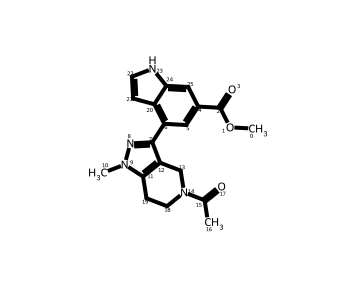 COC(=O)c1cc(-c2nn(C)c3c2CN(C(C)=O)CC3)c2cc[nH]c2c1